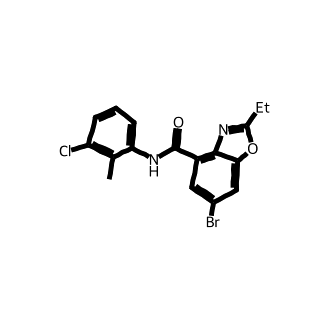 CCc1nc2c(C(=O)Nc3cccc(Cl)c3C)cc(Br)cc2o1